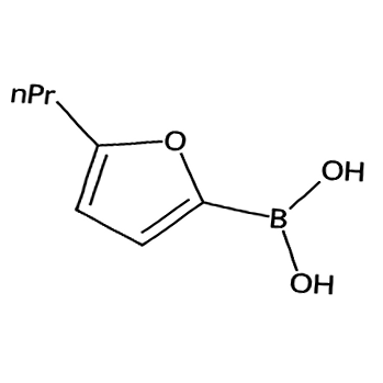 CCCc1ccc(B(O)O)o1